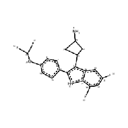 NC1CC(c2c(-c3ccc(OC(F)F)cc3)[nH]c3c(F)cc(F)cc23)C1